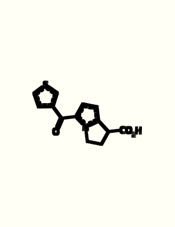 O=C(c1ccsc1)c1ccc2n1CCC2C(=O)O